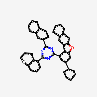 c1ccc(-c2cc(-c3nc(-c4ccc5ccccc5c4)nc(-c4cccc5ccccc45)n3)c3c(c2)oc2cc4ccccc4cc23)cc1